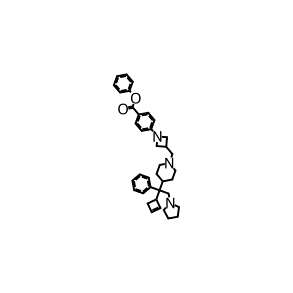 O=C(Oc1ccccc1)c1ccc(N2CC(CN3CCC(C(CN4CCCC4)(c4ccccc4)C4C=CC4)CC3)C2)cc1